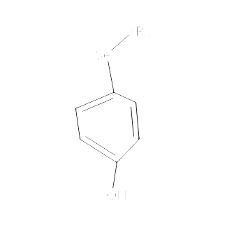 CC(C)(C)[Se]c1ccc(O)cc1